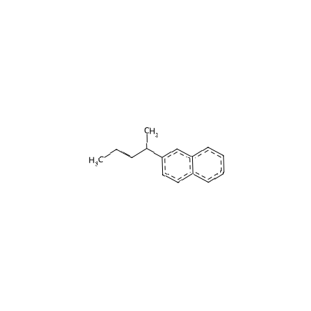 CCCC(C)c1ccc2ccccc2c1